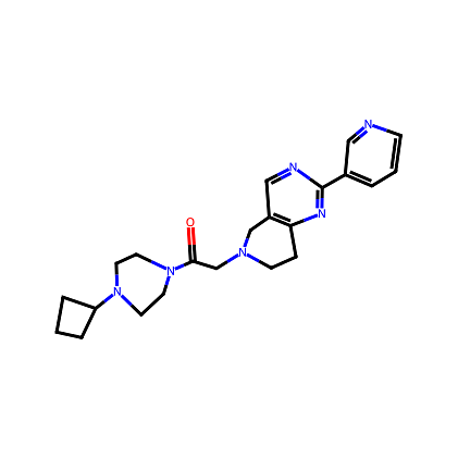 O=C(CN1CCc2nc(-c3cccnc3)ncc2C1)N1CCN(C2CCC2)CC1